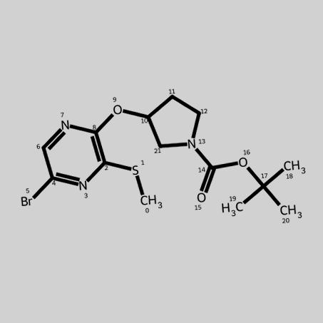 CSc1nc(Br)cnc1OC1CCN(C(=O)OC(C)(C)C)C1